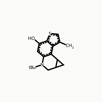 Cc1csc2c(O)cc3c(c12)C1CC1CN3C(C)(C)C